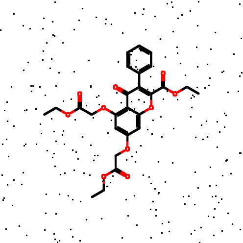 CCOC(=O)COc1cc(OCC(=O)OCC)c2c(=O)c(-c3ccccc3)c(C(=O)OCC)oc2c1